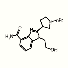 CCCN1CCC(c2nc3c(C(N)=O)cccc3n2CCO)C1